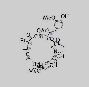 CC[C@@H]1/C=C(\C)C[C@H](C)C[C@H](OC)[C@H]2O[C@@](O)(C(=O)[C@H](O)N3CCCC[C@H]3C(=O)O[C@H](/C(C)=C/C3CC[C@@H](O)[C@H](OC)C3)[C@@H](C)[C@@H](OC(C)=O)CC1=O)[C@H](C)C[C@@H]2OC